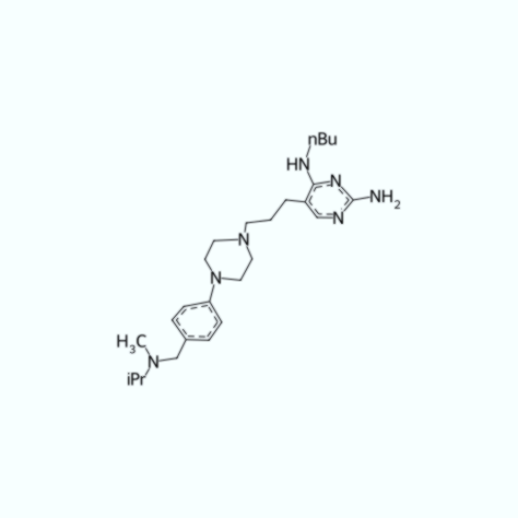 CCCCNc1nc(N)ncc1CCCN1CCN(c2ccc(CN(C)C(C)C)cc2)CC1